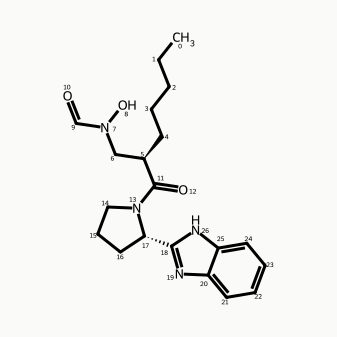 CCCCC[C@H](CN(O)C=O)C(=O)N1CCC[C@H]1c1nc2ccccc2[nH]1